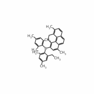 CCc1cc(C)cc(C)c1B(c1cc(C)c2ccc3ccc(C)c4c3c2c1CC4)c1c(C)cc(C)cc1C